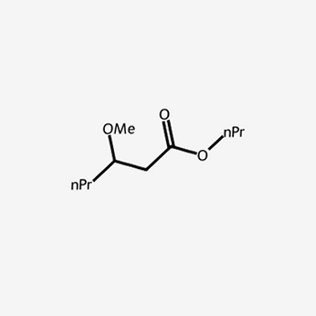 CCCOC(=O)CC(CCC)OC